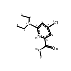 CCN(CC)c1cc(Cl)cc(C(=O)OC)n1